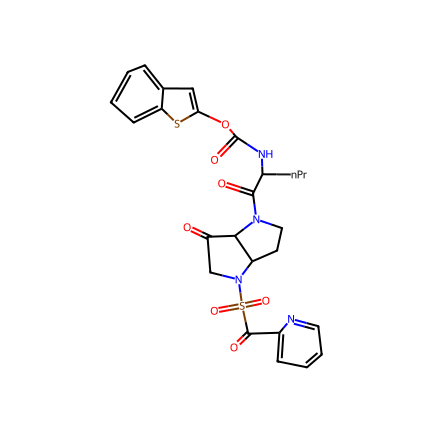 CCCC(NC(=O)Oc1cc2ccccc2s1)C(=O)N1CCC2C1C(=O)CN2S(=O)(=O)C(=O)c1ccccn1